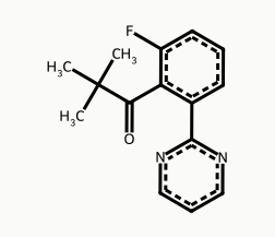 CC(C)(C)C(=O)c1c(F)cccc1-c1ncccn1